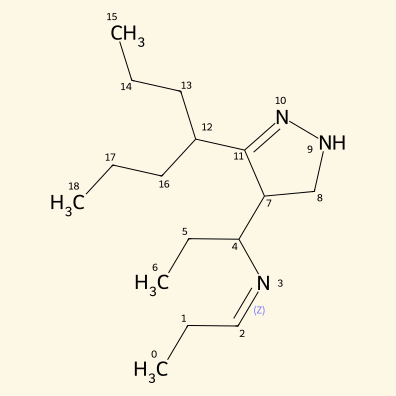 CC/C=N\C(CC)C1CNN=C1C(CCC)CCC